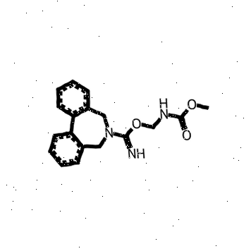 COC(=O)NCOC(=N)N1Cc2ccccc2-c2ccccc2C1